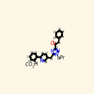 CCCn1nc(C(=O)Cc2ccccc2)nc1Cc1ccc(-c2ccccc2C(=O)O)nc1